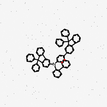 c1ccc(-c2ccccc2N(c2ccc(-c3ccc4c(c3)C(c3ccccc3)(c3ccccc3)c3ccccc3-4)cc2)c2ccc3c(c2)-c2ccccc2C3(c2ccccc2)c2ccccc2)cc1